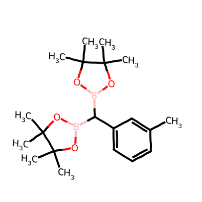 Cc1cccc(C(B2OC(C)(C)C(C)(C)O2)B2OC(C)(C)C(C)(C)O2)c1